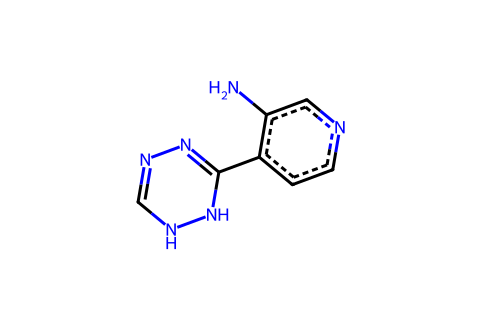 Nc1cnccc1C1=NN=CNN1